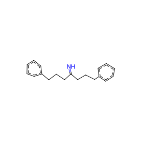 N=C(CCCc1ccccc1)CCCc1ccccc1